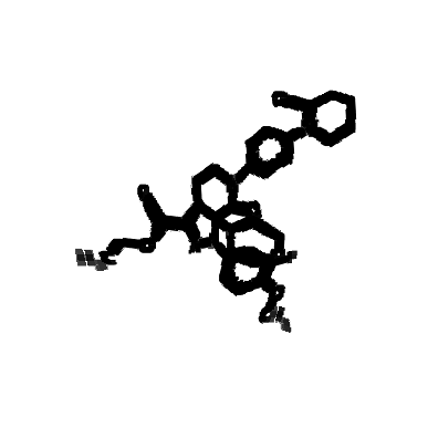 CCOC(=O)C1=NN(c2ccc(OC)c(F)c2)C2(N3CCOCC3)C(=O)N(c3ccc(N4CCCCC4=O)cc3)CCC12